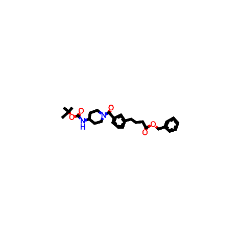 CC(C)(C)OC(=O)NC1CCN(C(=O)c2cccc(CCCC(=O)OCc3ccccc3)c2)CC1